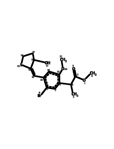 COC(=O)C(C)c1cc(Br)c(C=C2SCCC2O)cc1OC